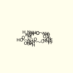 N#Cc1ccc(CCNC(=O)C2CCCN2c2cc(N3CCC(CCCC(=O)NC(CCCNC(=N)N)C(=O)NC(CCC(=O)O)C(=O)O)CC3)nc(C(F)(F)F)n2)cc1